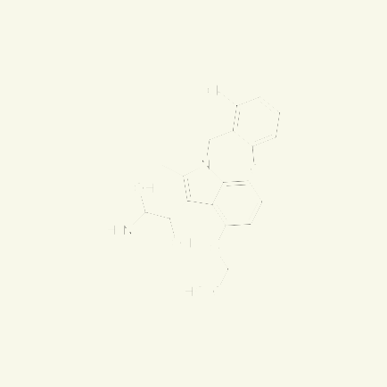 Cc1c(C(O)C(N)O)c2c(OCC(=O)O)cccc2n1Cc1c(Cl)cccc1Cl